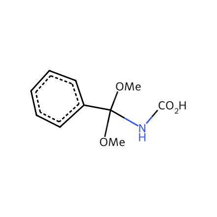 COC(NC(=O)O)(OC)c1ccccc1